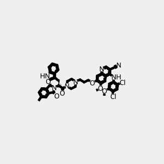 COc1cc(Nc2c(C#N)cnc3cc(OCCCN4CCN(C(=O)[C@H](Cc5c[nH]c6ccccc56)N5C(=O)c6ccc(C)cc6C5=O)CC4)c(OC)cc23)c(Cl)cc1Cl